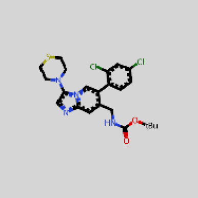 CC(C)(C)OC(=O)NCc1cc2ncc(N3CCSCC3)n2cc1-c1ccc(Cl)cc1Cl